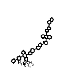 C[Si](C)(C)c1ccc2c(-c3ccc4cc(-c5ccc6cc(-c7cccc(-c8c9ccccc9c(-c9ccc%10cc(-c%11ccc%12ccccc%12c%11)ccc%10c9)c9ccccc89)c7)ccc6c5)ccc4c3)c3ccccc3c(-c3ccc(-c4ccccc4)cc3)c2c1